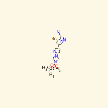 CC(C)(C)OC(=O)N1CCN(c2ccc(-c3cc(Br)c4c(C#N)cnn4c3)cn2)CC1